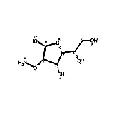 NO[C@@H]1[C@@H](O)[C@@H]([C@@H](O)CO)O[C@@H]1O